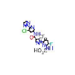 Cc1cc(F)c(NC(=O)O)nc1-n1ncc(C(=O)Nc2cnc(-n3nccn3)c(Cl)c2)c1C(F)(F)F